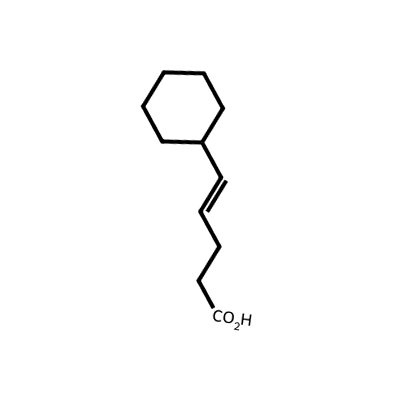 O=C(O)CCC=CC1CCCCC1